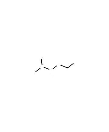 CCO[SiH2][SiH]([SiH3])[SiH3]